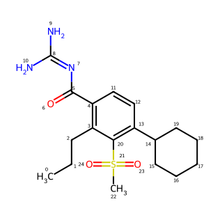 CCCc1c(C(=O)N=C(N)N)ccc(C2CCCCC2)c1S(C)(=O)=O